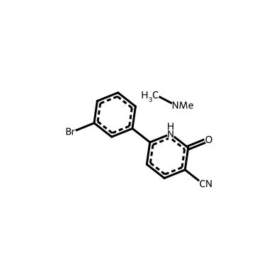 CNC.N#Cc1ccc(-c2cccc(Br)c2)[nH]c1=O